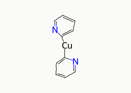 c1cc[c]([Cu][c]2ccccn2)nc1